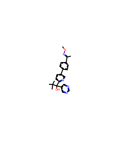 CON=C(C)c1ccc(-c2ccc(C(O)(c3cncnc3)C(C)(C)C)nc2)cc1